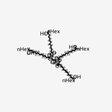 CCCCCCC(O)CCCCCCCCCCC(=O)OC[C@@H](OC(=O)CCCCCCCCCCC(O)CCCCCC)[C@H]1OC[C@H](OC(=O)CCCCCCCCCCC(O)CCCCCC)[C@H]1OC(=O)CCCCCCCCCCC(O)CCCCCC